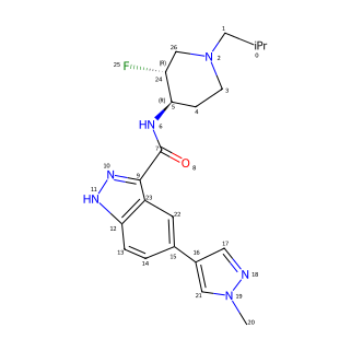 CC(C)CN1CC[C@@H](NC(=O)c2n[nH]c3ccc(-c4cnn(C)c4)cc23)[C@H](F)C1